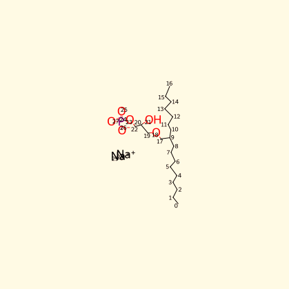 CCCCCCCCCC(CCCCCCC)COCC(O)COP(=O)([O-])[O-].[Na+].[Na+]